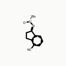 CC(C)(C)[S@@+]([O-])N=C1CCc2c(C#N)cccc21